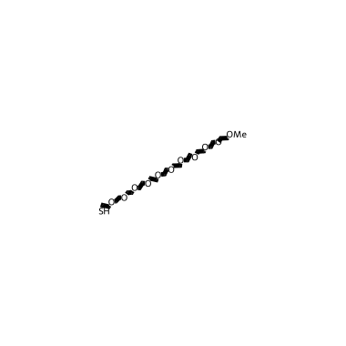 COCCOCCOCCOCCOCCOCCOCCOCCOCCOCCOCCS